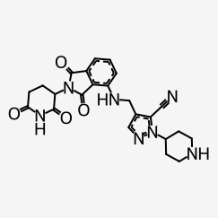 N#Cc1c(CNc2cccc3c2C(=O)N(C2CCC(=O)NC2=O)C3=O)cnn1C1CCNCC1